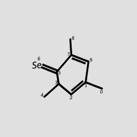 CC1=CC(C)C(=[Se])C(C)=C1